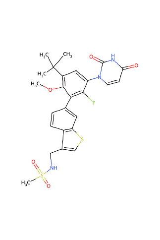 COc1c(C(C)(C)C)cc(-n2ccc(=O)[nH]c2=O)c(F)c1-c1ccc2c(CNS(C)(=O)=O)csc2c1